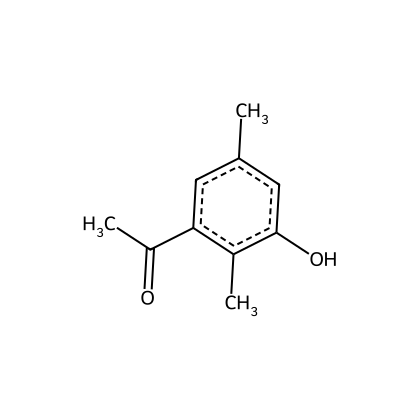 CC(=O)c1cc(C)cc(O)c1C